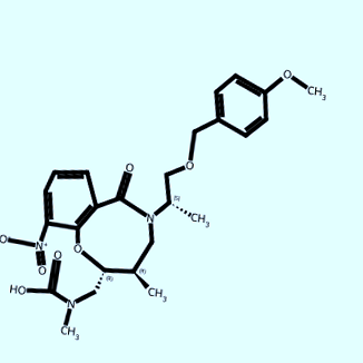 COc1ccc(COC[C@H](C)N2C[C@@H](C)[C@H](CN(C)C(=O)O)Oc3c(cccc3[N+](=O)[O-])C2=O)cc1